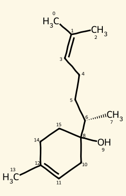 CC(C)=CCC[C@H](C)C1(O)CC=C(C)CC1